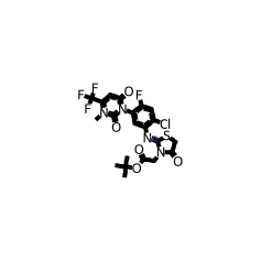 Cn1c(C(F)(F)F)cc(=O)n(-c2cc(/N=C3\SCC(=O)N3CC(=O)OC(C)(C)C)c(Cl)cc2F)c1=O